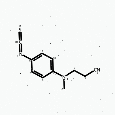 CN(CCC#N)c1ccc(N=C=S)cc1